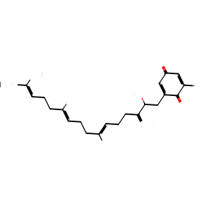 C=C(CC/C=C(\C)CC/C=C(/CCC=C(C)C)C(=O)O)C(O)CC1=CC(=O)C=C(C)C1=O